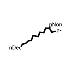 CCCCCCCCCCCCCCCCCCCC(CCCCCCCCC)C[C](C)C